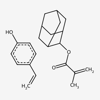 C=C(C)C(=O)OC1C2CC3CC(C2)CC1C3.C=Cc1ccc(O)cc1